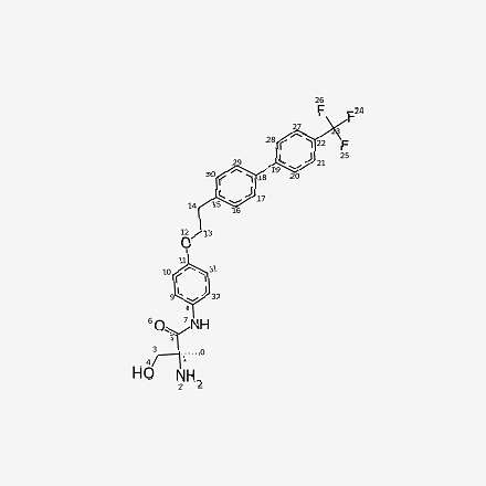 C[C@](N)(CO)C(=O)Nc1ccc(OCCc2ccc(-c3ccc(C(F)(F)F)cc3)cc2)cc1